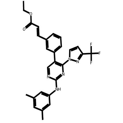 CCOC(=O)/C=C/c1cccc(-c2cnc(Nc3cc(C)cc(C)c3)nc2-n2ccc(C(F)(F)F)n2)c1